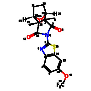 CC12C(=O)N(c3nc4ccc(OC(F)(F)F)cc4s3)C(=O)[C@]1(C)[C@H]1CC[C@@H]2O1